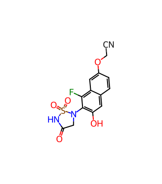 N#CCOc1ccc2cc(O)c(N3CC(=O)NS3(=O)=O)c(F)c2c1